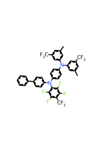 Cc1cc(N(c2ccc(N(c3ccc(-c4ccccc4)cc3)c3c(F)c(F)c(C(F)(F)F)c(F)c3F)cc2)c2cc(C)cc(C(F)(F)F)c2)cc(C(F)(F)F)c1